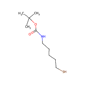 CC(C)(C)OC(=O)NCCCCCS